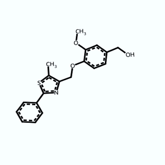 COc1cc(CO)ccc1OCc1nc(-c2ccccc2)sc1C